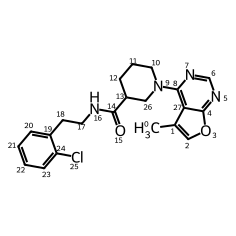 Cc1coc2ncnc(N3CCCC(C(=O)NCCc4ccccc4Cl)C3)c12